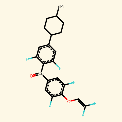 CCCC1CCC(c2cc(F)[c]([Co](=[O])[c]3cc(F)c(OC=C(F)F)c(F)c3)c(F)c2)CC1